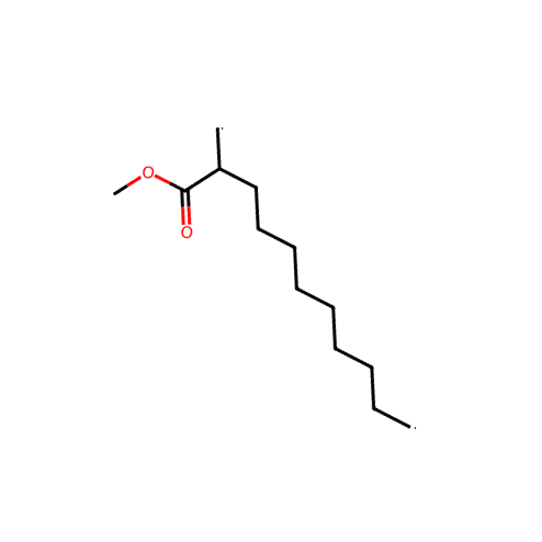 [CH2]CCCCCCCCC([CH2])C(=O)OC